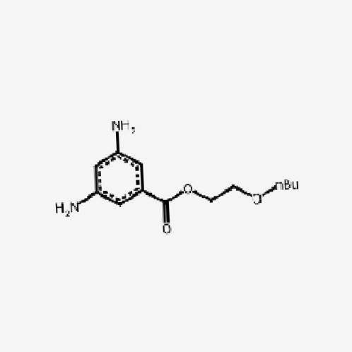 CCCCOCCOC(=O)c1cc(N)cc(N)c1